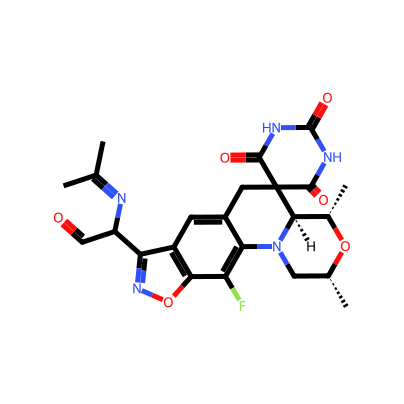 CC(C)=NC(C=O)c1noc2c(F)c3c(cc12)CC1(C(=O)NC(=O)NC1=O)[C@H]1[C@H](C)O[C@H](C)CN31